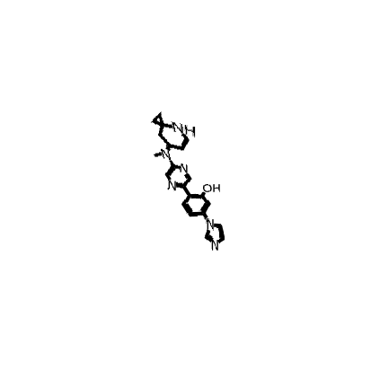 CN(c1cnc(-c2ccc(-n3ccnc3)cc2O)cn1)C1CCNC2(CC2)C1